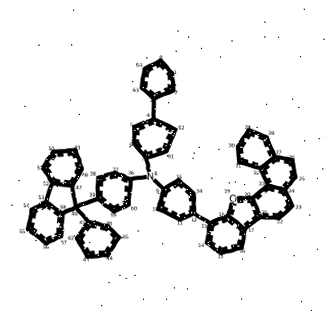 c1ccc(-c2ccc(N(c3ccc(-c4cccc5c4oc4c5ccc5ccc6ccccc6c54)cc3)c3ccc(C4(c5ccccc5)c5ccccc5-c5ccccc54)cc3)cc2)cc1